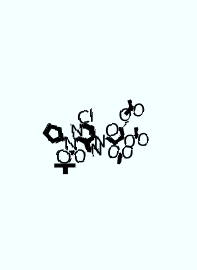 CC(=O)OC[C@H]1O[C@@H](n2ncc3c(N(C(=O)OC(C)(C)C)C4CCCC4)nc(Cl)cc32)[C@H](OC(C)=O)[C@@H]1OC(C)=O